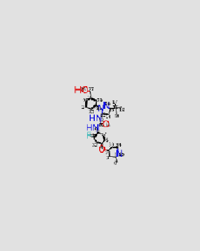 Cc1cc(Oc2ccc(NC(=O)Nc3cc(C(C)(C)C)nn3-c3cccc(CO)c3)c(F)c2)ccn1